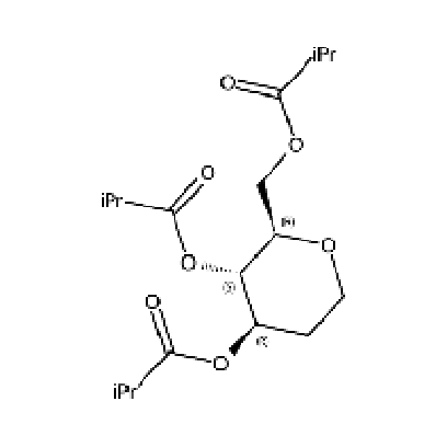 CC(C)C(=O)OC[C@H]1OCC[C@@H](OC(=O)C(C)C)[C@@H]1OC(=O)C(C)C